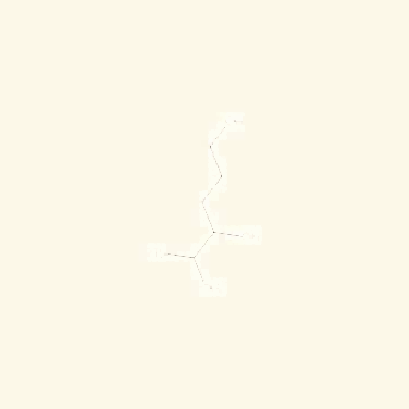 OCCCC(O)C(O)S